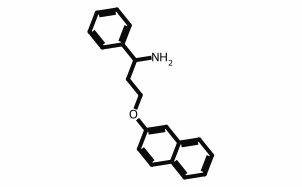 NC(CCOc1ccc2ccccc2c1)c1ccccc1